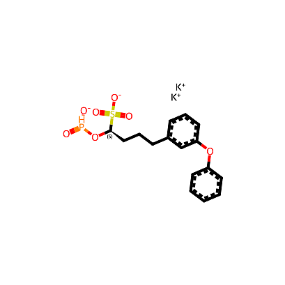 O=[PH]([O-])O[C@H](CCCc1cccc(Oc2ccccc2)c1)S(=O)(=O)[O-].[K+].[K+]